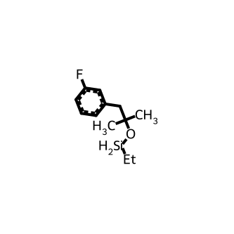 CC[SiH2]OC(C)(C)Cc1cccc(F)c1